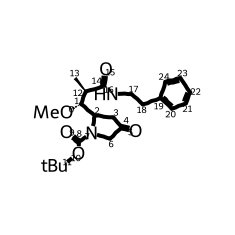 CO[C@@H](C1CC(=O)CN1C(=O)OC(C)(C)C)[C@@H](C)C(=O)NCCc1ccccc1